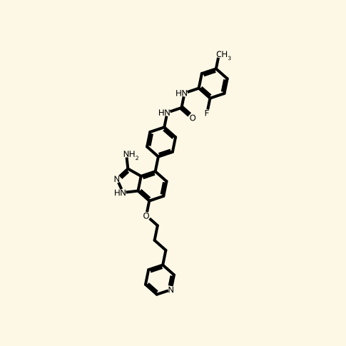 Cc1ccc(F)c(NC(=O)Nc2ccc(-c3ccc(OCCCc4cccnc4)c4[nH]nc(N)c34)cc2)c1